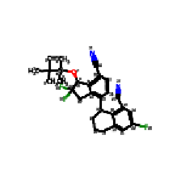 CC(C)(C)[Si](C)(C)O[C@H]1c2c(C#N)ccc(C3CCCc4cc(F)cc(C#N)c43)c2CC1(F)F